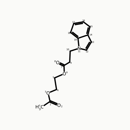 CC(=O)OCCOC(=O)CCn1ccc2ccccc21